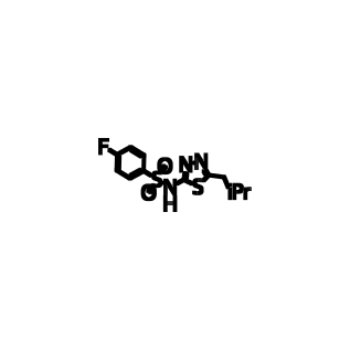 CC(C)Cc1nnc(NS(=O)(=O)c2ccc(F)cc2)s1